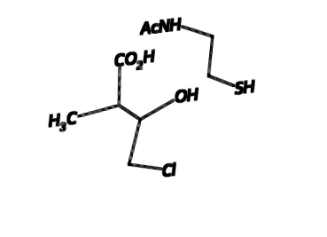 CC(=O)NCCS.CC(C(=O)O)C(O)CCl